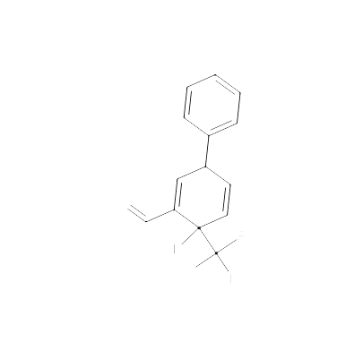 O=CC1=CC(c2ccccc2)C=CC1(F)C(F)(F)F